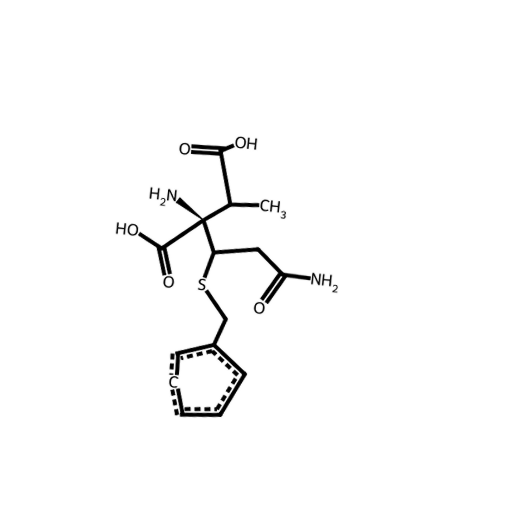 CC(C(=O)O)[C@@](N)(C(=O)O)C(CC(N)=O)SCc1ccccc1